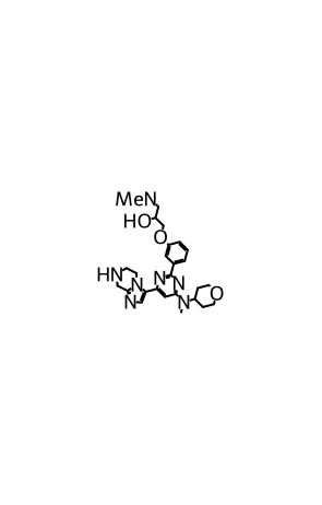 CNCC(O)COc1cccc(-c2nc(-c3cnc4n3CCNC4)cc(N(C)C3CCOCC3)n2)c1